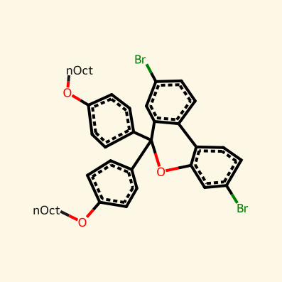 CCCCCCCCOc1ccc(C2(c3ccc(OCCCCCCCC)cc3)Oc3cc(Br)ccc3-c3ccc(Br)cc32)cc1